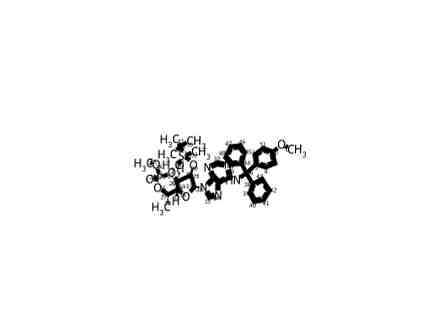 COc1ccc(C(Nc2ncnc3c2ncn3[C@@H]2O[C@H]3[C@@H](OP(=O)(OC)O[C@H]3C)[C@H]2O[Si](C)(C)C(C)(C)C)(c2ccccc2)c2ccccc2)cc1